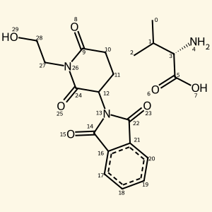 CC(C)[C@H](N)C(=O)O.O=C1CCC(N2C(=O)c3ccccc3C2=O)C(=O)N1CCO